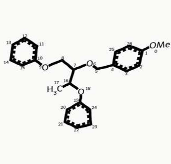 COc1ccc(COC(COc2ccccc2)C(C)Oc2ccccc2)cc1